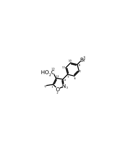 Cc1onc(-c2ccc(Br)cc2)c1C(=O)O